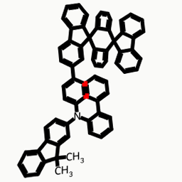 CC1(C)c2ccccc2-c2ccc(N(c3ccc(-c4ccc5c(c4)C4(c6ccccc6-5)c5ccccc5C5(c6ccccc6-c6ccccc65)c5ccccc54)cc3)c3ccccc3-c3ccccc3)cc21